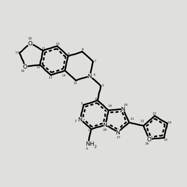 Nc1ncc(CN2CCc3cc4c(cc3C2)OCO4)c2nc(-c3ccco3)nn12